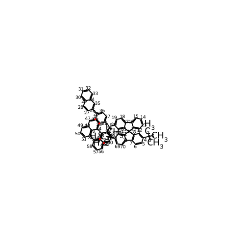 CC(C)(C)c1ccc2c(c1)C1(c3ccccc3-c3ccc(N(c4ccc(-c5ccc6ccccc6c5)cc4)c4ccccc4-c4cccc5cccc(-c6ccccc6)c45)cc31)c1cc(C(C)(C)C)ccc1-2